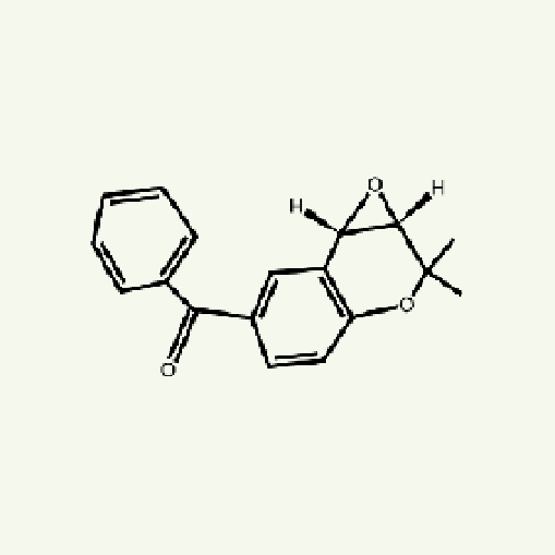 CC1(C)Oc2ccc(C(=O)c3ccccc3)cc2[C@@H]2O[C@@H]21